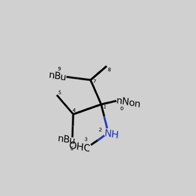 CCCCCCCCCC(N[C]=O)(C(C)CCCC)C(C)CCCC